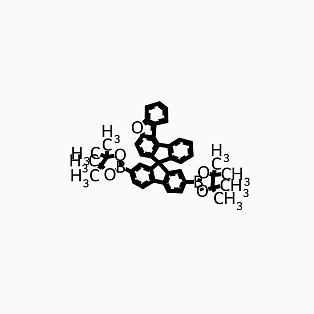 CC1(C)OB(c2ccc3c(c2)C2(c4cc(B5OC(C)(C)C(C)(C)O5)ccc4-3)c3ccccc3-c3c2ccc2oc4ccccc4c32)OC1(C)C